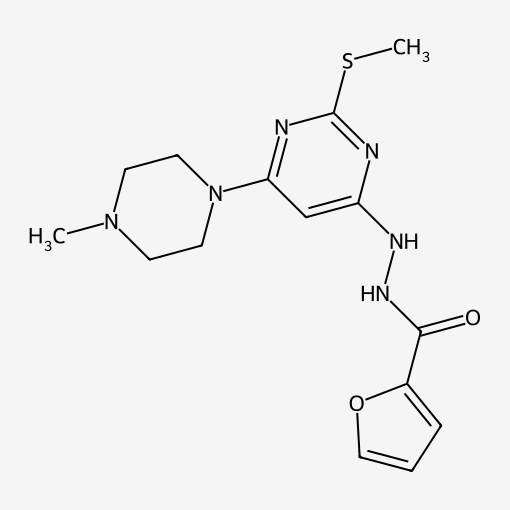 CSc1nc(NNC(=O)c2ccco2)cc(N2CCN(C)CC2)n1